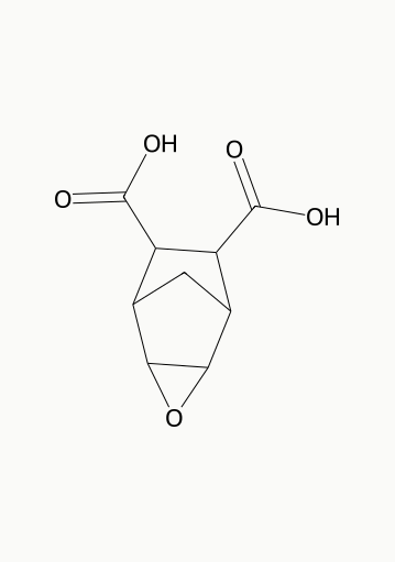 O=C(O)C1C2CC(C3OC23)C1C(=O)O